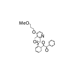 COCCCOc1ccnc(C[S+]([O-])C2=CC=CCC2C(=O)C(=O)c2ccccc2)c1C